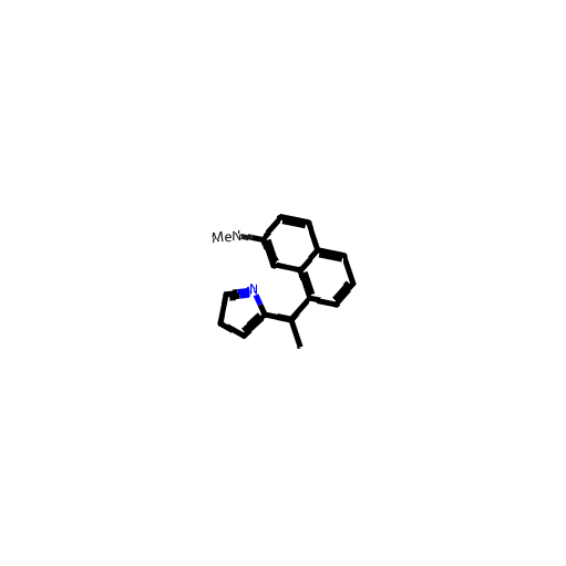 CNc1ccc2cccc(C(C)C3=CCC=N3)c2c1